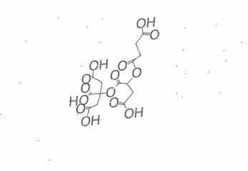 O=C(O)CCC(=O)OC(CC(=O)O)C(=O)OC(CC(=O)O)(CC(=O)O)C(=O)O